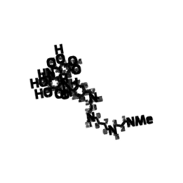 CNCCCN(C)CCCCN(C)CCCN(C)Cc1ccc(C(=O)N[C@H]2[C@H](O)[C@@H](O)[C@@H](O)[C@@H]3NC(=O)c4c(cc5c(c4O)OCO5)[C@@H]23)cc1